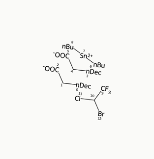 CCCCCCCCCCCC(=O)[O-].CCCCCCCCCCCC(=O)[O-].CCC[CH2][Sn+2][CH2]CCC.FC(F)(F)C(Cl)Br